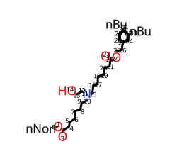 CCCCCCCCCOC(=O)CCCCCCCN(CCO)CCCCCCCC(=O)OCCc1ccc(CCCC)c(CCCC)c1